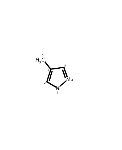 CC1=C[N]N=C1